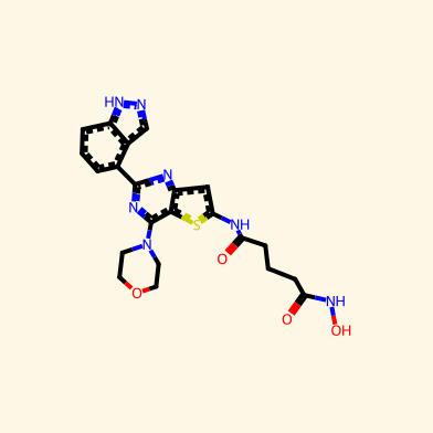 O=C(CCCC(=O)Nc1cc2nc(-c3cccc4[nH]ncc34)nc(N3CCOCC3)c2s1)NO